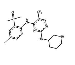 Cc1ccc(Nc2nc(NC3CCCNC3)ncc2C(F)(F)F)c(P(C)(C)=O)c1